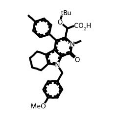 COc1ccc(Cn2c3c(c4c(-c5ccc(C)cc5)c(C(OC(C)(C)C)C(=O)O)n(C)c(=O)c42)CCCC3)cc1